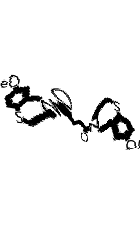 COc1ccc2c(c1)CN(C(=O)CCC(=O)N1CCSc3ccc(OC)cc3C1)CCS2